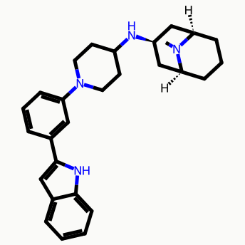 CN1[C@@H]2CCC[C@H]1C[C@@H](NC1CCN(c3cccc(-c4cc5ccccc5[nH]4)c3)CC1)C2